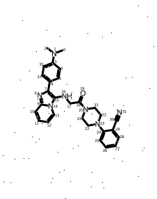 CN(C)c1ccc(-c2nc3ccccn3c2NCC(=O)N2CCN(c3ccccc3C#N)CC2)cc1